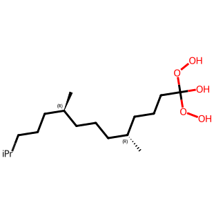 CC(C)CCC[C@@H](C)CCC[C@@H](C)CCCC(O)(OO)OO